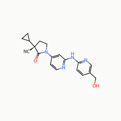 N#C[C@@]1(C2CC2)CCN(c2ccnc(Nc3ccc(CO)cn3)c2)C1=O